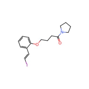 O=C(CCCOc1ccccc1C=CI)N1CCCC1